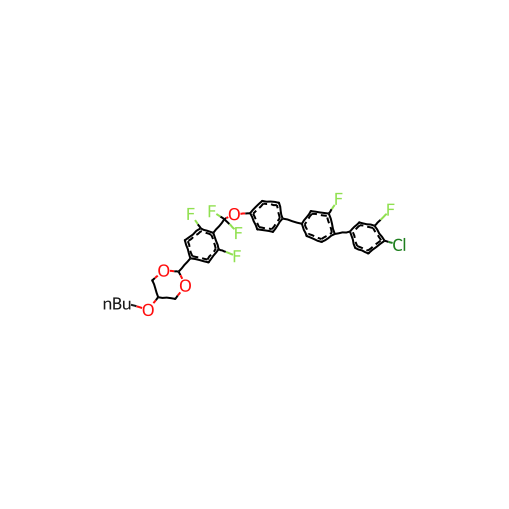 CCCCOC1COC(c2cc(F)c(C(F)(F)Oc3ccc(-c4ccc(-c5ccc(Cl)c(F)c5)c(F)c4)cc3)c(F)c2)OC1